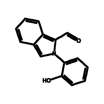 O=Cc1c2ccccc2cn1-c1ccccc1O